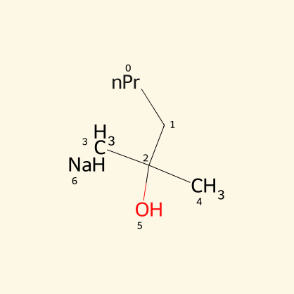 CCCCC(C)(C)O.[NaH]